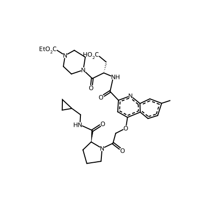 CCOC(=O)N1CCN(C(=O)[C@H](CC(=O)O)NC(=O)c2cc(OCC(=O)N3CCC[C@H]3C(=O)NCC3CC3)c3ccc(C)cc3n2)CC1